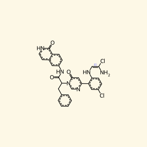 N/C(Cl)=C\Nc1ccc(Cl)cc1-c1cc(=O)n(C(Cc2ccccc2)C(=O)Nc2ccc3c(=O)[nH]ccc3c2)cn1